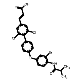 CC(C)C(=O)Nc1ccc(Oc2ccc(-c3c(Cl)cc(C=CC(=O)O)cc3Cl)cc2)cc1Br